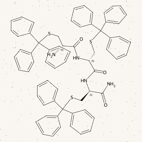 NC(=O)[C@@H](CSC(c1ccccc1)(c1ccccc1)c1ccccc1)NC(=O)[C@@H](CSC(c1ccccc1)(c1ccccc1)c1ccccc1)NC(=O)[C@H](N)CSC(c1ccccc1)(c1ccccc1)c1ccccc1